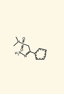 CN(C)S(=O)(=O)CC(=NN)c1ccccc1